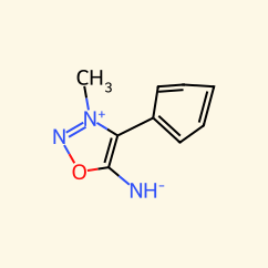 C[n+]1noc([NH-])c1-c1ccccc1